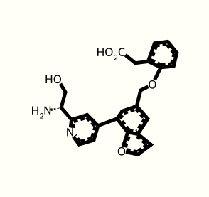 N[C@H](CO)c1cc(-c2cc(COc3ccccc3CC(=O)O)cc3ccoc23)ccn1